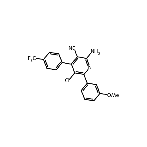 COc1cccc(-c2nc(N)c(C#N)c(-c3ccc(C(F)(F)F)cc3)c2Cl)c1